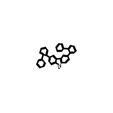 Cn1c2ccc(-c3ccccc3-c3ccccc3)cc2c2cc(-c3ccccc3-c3ccccc3)ccc21